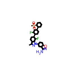 Cc1nn(-c2ccc3onc(N)c3c2)c2c(F)c(-c3ccc(-c4ccccc4S(C)(=O)=O)cc3F)ccc12